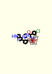 COc1cccc(-c2cnc3[nH]ccc3c2N2CCN(C(=O)C(CN(C(=O)OC(C)(C)C)C(C)C)c3ccc(Cl)cc3)CC2)c1